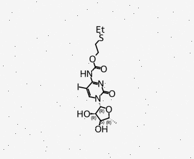 CCSCCOC(=O)Nc1nc(=O)n([C@@H]2O[C@H](C)[C@@H](O)[C@H]2O)cc1I